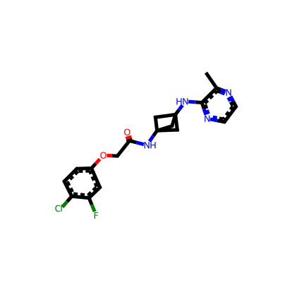 Cc1nccnc1NC12CC(NC(=O)COc3ccc(Cl)c(F)c3)(C1)C2